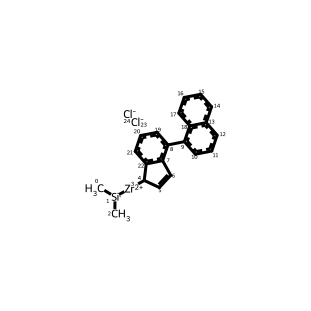 C[Si](C)[Zr+2][CH]1C=Cc2c(-c3cccc4ccccc34)cccc21.[Cl-].[Cl-]